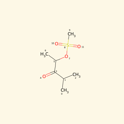 CC(C)C(=O)C(C)OS(C)(=O)=O